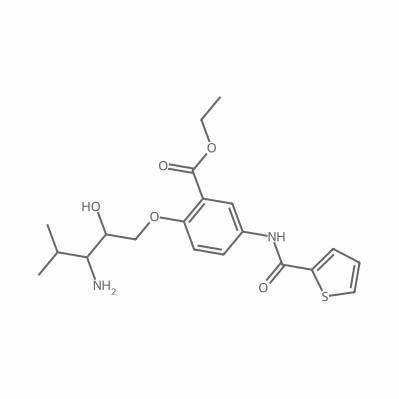 CCOC(=O)c1cc(NC(=O)c2cccs2)ccc1OCC(O)C(N)C(C)C